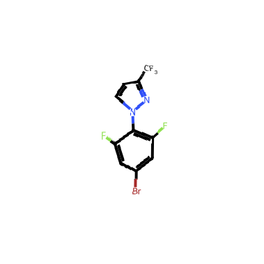 Fc1cc(Br)cc(F)c1-n1ccc(C(F)(F)F)n1